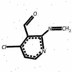 C=Nc1nccc(Cl)c1C=O